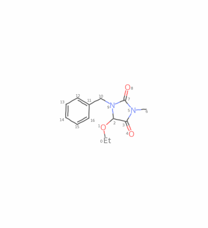 CCOC1C(=O)N(C)C(=O)N1Cc1ccccc1